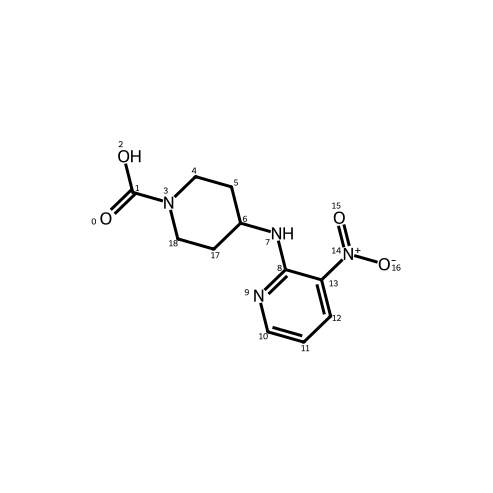 O=C(O)N1CCC(Nc2ncccc2[N+](=O)[O-])CC1